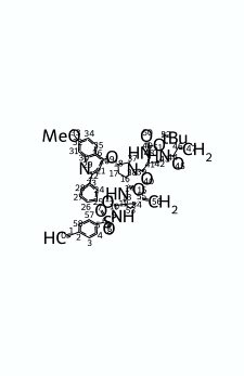 C#Cc1ccc(S(=O)(=O)NC(=O)[C@@]2(NC(=O)[C@@H]3CC(Oc4cc(-c5ccccc5)nc5cc(OC)ccc45)CN3C(=O)[C@H](CNC(=O)C=C)NC(=O)OC(C)(C)C)C[C@H]2C=C)cc1